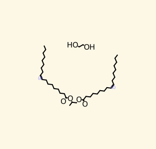 CCCCCCCC/C=C\CCCCCCCC(=O)OCC(C)OC(=O)CCCCCCC/C=C\CCCCCCCC.OCCO